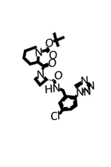 CC(C)(C)OC(=O)N1CCCCC1C(=O)N1CC[C@H]1C(=O)NCc1cc(Cl)ccc1-n1cnnn1